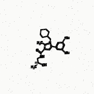 Cc1c(C(=O)NC[C@@H](C)O)cc(-c2cc(C(C)(C)C)cc(C(C)(C)C)c2)n1CC1CCCCC1